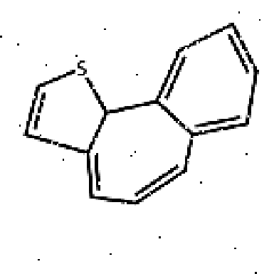 C1=Cc2ccccc2C2SC=CC2=C1